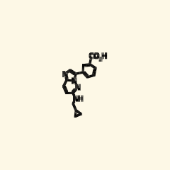 O=C(O)c1cccc(-c2cnc3ccc(NCC4CC4)nn23)c1